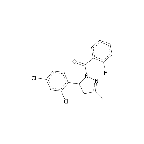 CC1=NN(C(=O)c2ccccc2F)C(c2ccc(Cl)cc2Cl)C1